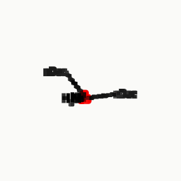 CCCCCCCCCCCCCCCCCCCCCCO[SiH](O[SiH3])OCCCCCCCCCCCCCCCCCCCCCC